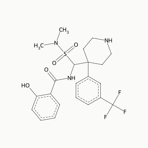 CN(C)S(=O)(=O)C(NC(=O)c1ccccc1O)C1(c2cccc(C(F)(F)F)c2)CCNCC1